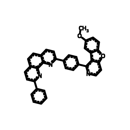 COc1ccc2oc3ccnc(-c4ccc(-c5ccc6ccc7ccc(-c8ccccc8)nc7c6n5)cc4)c3c2c1